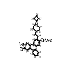 COc1ccc(-c2n[nH]c(=O)cc2-c2ccccc2)cc1CCC1CCN(C2CCC2)CC1